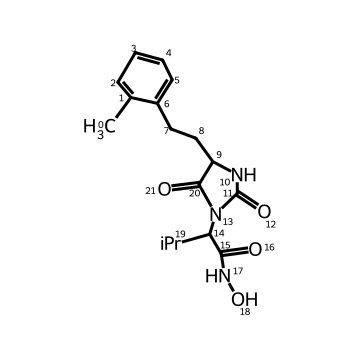 Cc1ccccc1CCC1NC(=O)N(C(C(=O)NO)C(C)C)C1=O